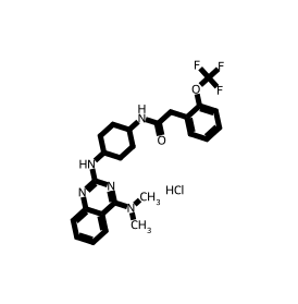 CN(C)c1nc(NC2CCC(NC(=O)Cc3ccccc3OC(F)(F)F)CC2)nc2ccccc12.Cl